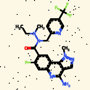 CCN(C)N(Cc1ccc(C(F)(F)F)cn1)C(=O)c1cc2c(cc1F)nc(N)c1cnn(C)c12